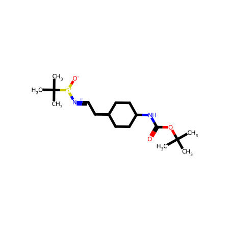 CC(C)(C)OC(=O)NC1CCC(C/C=N/[S+]([O-])C(C)(C)C)CC1